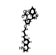 Cc1noc2cccc([C@H](C(=O)O)N3CC[C@@H](OCCCCc4ccc5c(n4)NCCC5)C3)c12